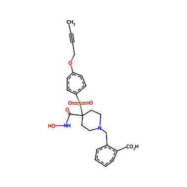 CC#CCOc1ccc(S(=O)(=O)C2(C(=O)NO)CCN(Cc3ccccc3C(=O)O)CC2)cc1